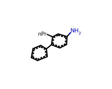 CCCc1cc(N)ccc1-c1ccccc1